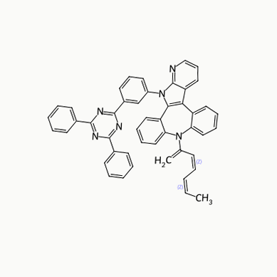 C=C(/C=C\C=C/C)N1c2ccccc2-c2c(n(-c3cccc(-c4nc(-c5ccccc5)nc(-c5ccccc5)n4)c3)c3ncccc23)-c2ccccc21